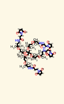 CC(C)(CCNC(=O)CCN1C(=O)C=CC1=O)OCCC(C)(C)OCC(COC(C)(C)CCOC(C)(C)CCNC(=O)CCN1C(=O)C=CC1=O)(COC(C)(C)CCOC(C)(C)CCNC(=O)CCN1C(=O)C=CC1=O)COC(C)(C)CCOC(C)(C)CCNC(=O)CCN1C(=O)C=CC1=O